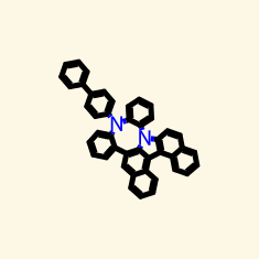 c1ccc(-c2ccc(-n3c4ccccc4c4cc5ccccc5c5c6c7ccccc7ccc6n(c6ccccc63)c45)cc2)cc1